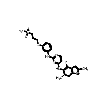 Cc1cc2c([nH]1)C[C@@H](C)C(Nc1ccnc(Nc3cccc(OCCCS(C)(=O)=O)c3)n1)=C2F